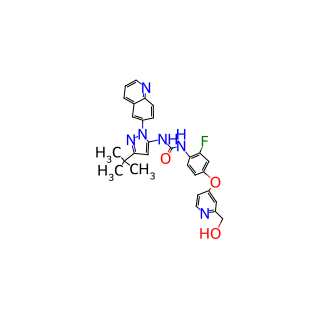 CC(C)(C)c1cc(NC(=O)Nc2ccc(Oc3ccnc(CO)c3)cc2F)n(-c2ccc3ncccc3c2)n1